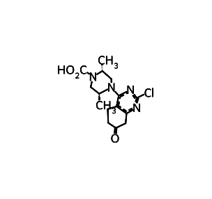 C[C@@H]1CN(c2nc(Cl)nc3c2CCC(=O)C3)[C@@H](C)CN1C(=O)O